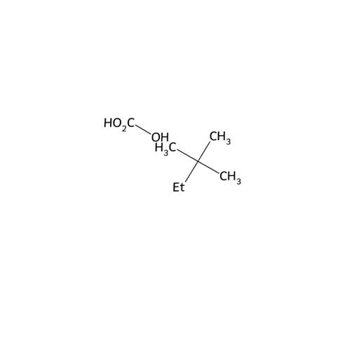 CCC(C)(C)C.O=C(O)O